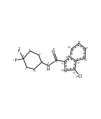 O=C(NC1CCC(F)(F)CC1)c1nc(Cl)c2ccccn12